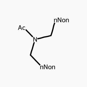 CCCCCCCCCCN(CCCCCCCCCC)C(C)=O